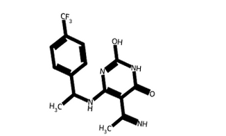 CC(=N)c1c(NC(C)c2ccc(C(F)(F)F)cc2)nc(O)[nH]c1=O